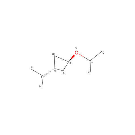 CC(C)O[C@H]1C[C@H](C(C)C)C1